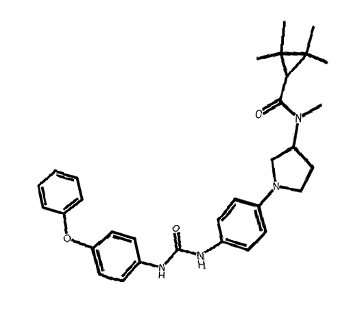 CN(C(=O)C1C(C)(C)C1(C)C)C1CCN(c2ccc(NC(=O)Nc3ccc(Oc4ccccc4)cc3)cc2)C1